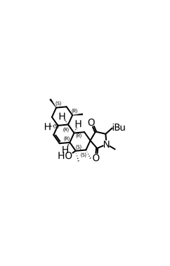 CCC(C)C1C(=O)C2(C[C@@H]3[C@@H]4[C@H](C)C[C@H](C)C[C@@H]4C=C[C@@H]3[C@](C)(O)[C@H]2C)C(=O)N1C